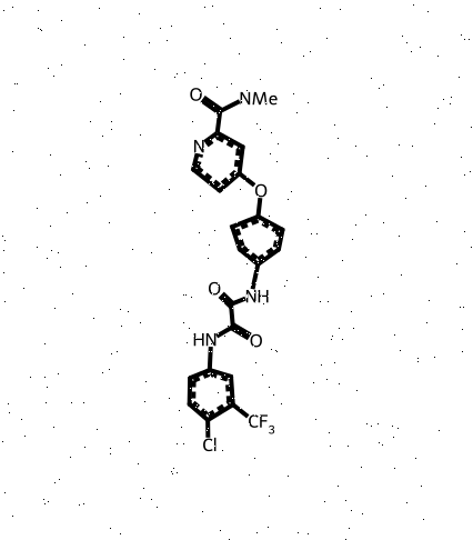 CNC(=O)c1cc(Oc2ccc(NC(=O)C(=O)Nc3ccc(Cl)c(C(F)(F)F)c3)cc2)ccn1